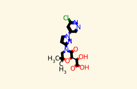 CC1(C)CN(c2ccn(-c3cnnc(Cl)c3)n2)C(=O)[C@@H](C(O)C(=O)O)O1